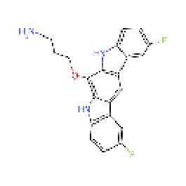 NCCCOc1c2[nH]c3ccc(F)cc3c2cc2c1[nH]c1ccc(F)cc12